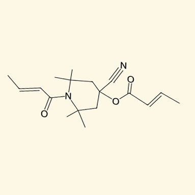 CC=CC(=O)OC1(C#N)CC(C)(C)N(C(=O)C=CC)C(C)(C)C1